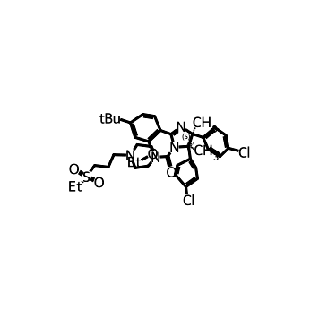 CCOc1cc(C(C)(C)C)ccc1C1=N[C@@](C)(c2ccc(Cl)cc2)[C@@](C)(c2ccc(Cl)cc2)N1C(=O)N1CCN(CCCS(=O)(=O)CC)CC1